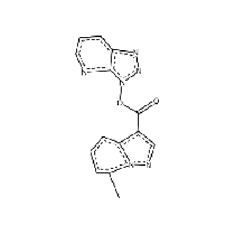 Cc1cccc2c(C(=O)On3nnc4cccnc43)cnn12